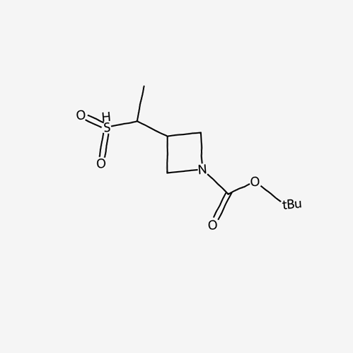 CC(C1CN(C(=O)OC(C)(C)C)C1)[SH](=O)=O